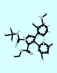 CCOC(=O)c1c(-c2cc(C)cc(C)n2)c(-c2cccc(OC)c2C)cn1C(=O)OC(C)(C)C